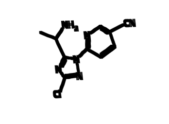 CC(N)c1nc(Cl)nn1-c1ccc(C#N)cn1